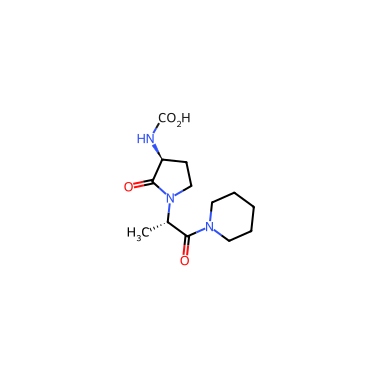 C[C@@H](C(=O)N1CCCCC1)N1CC[C@H](NC(=O)O)C1=O